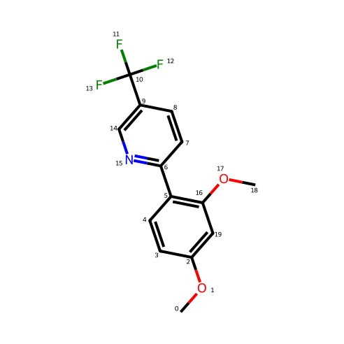 COc1ccc(-c2ccc(C(F)(F)F)cn2)c(OC)c1